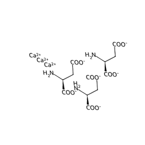 N[C@@H](CC(=O)[O-])C(=O)[O-].N[C@@H](CC(=O)[O-])C(=O)[O-].N[C@@H](CC(=O)[O-])C(=O)[O-].[Ca+2].[Ca+2].[Ca+2]